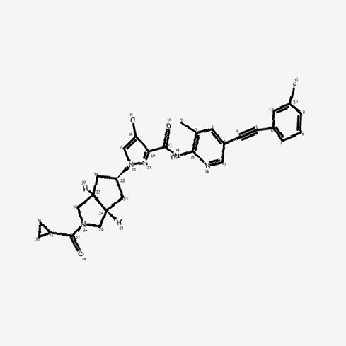 Cc1cc(C#Cc2cccc(F)c2)cnc1NC(=O)c1nn([C@H]2C[C@@H]3CN(C(=O)C4CC4)C[C@@H]3C2)cc1Cl